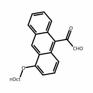 CCCCCCCCOc1cccc2c(C(=O)C=O)c3ccccc3cc12